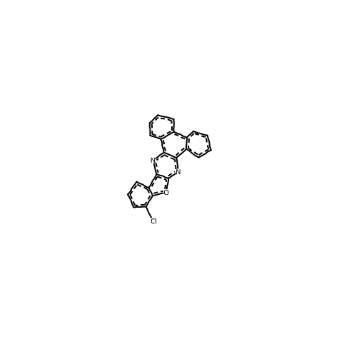 Clc1cccc2c1oc1nc3c4ccccc4c4ccccc4c3nc12